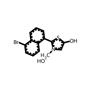 C[n+]1cc(O)sc1-c1cccc2c(Br)cccc12.[OH-]